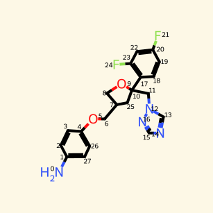 Nc1ccc(OCC2COC(Cn3cncn3)(c3ccc(F)cc3F)C2)cc1